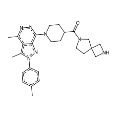 Cc1ccc(-n2nc3c(N4CCC(C(=O)N5CCC6(CNC6)C5)CC4)nnc(C)c3c2C)cc1